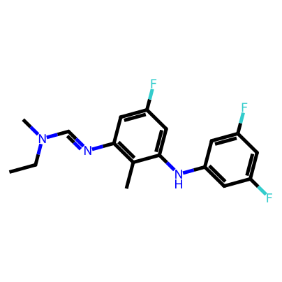 CCN(C)C=Nc1cc(F)cc(Nc2cc(F)cc(F)c2)c1C